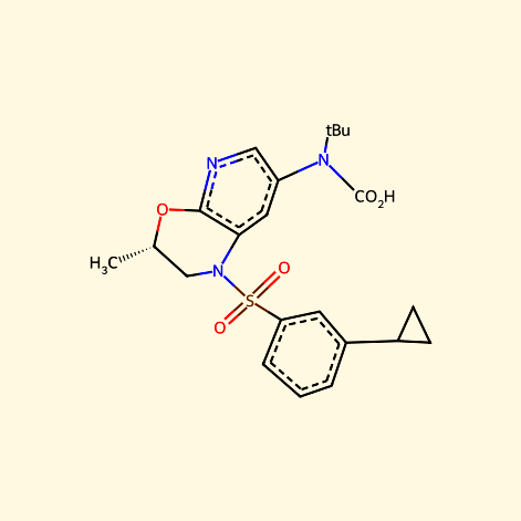 C[C@H]1CN(S(=O)(=O)c2cccc(C3CC3)c2)c2cc(N(C(=O)O)C(C)(C)C)cnc2O1